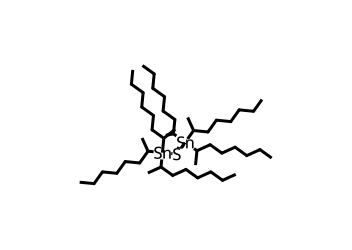 CCCCCC[CH](C)[Sn]([S][Sn]([CH](C)CCCCCC)([CH](C)CCCCCC)[CH](C)CCCCCC)([CH](C)CCCCCC)[CH](C)CCCCCC